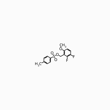 COc1ccc(F)c(F)c1COS(=O)(=O)c1ccc(C)cc1